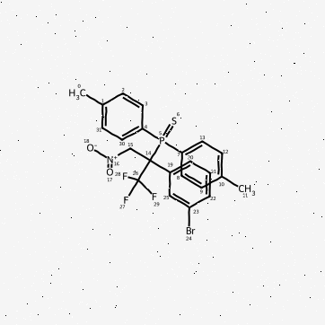 Cc1ccc(P(=S)(c2ccc(C)cc2)C(C[N+](=O)[O-])(c2cccc(Br)c2)C(F)(F)F)cc1